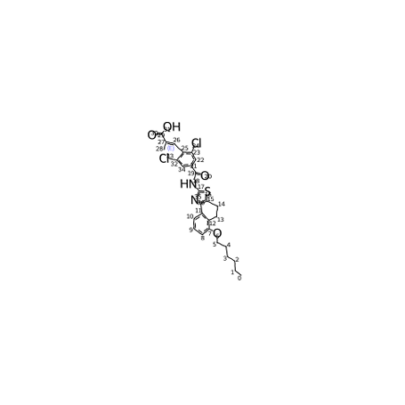 CCCCCCOc1cccc2c1CCc1sc(NC(=O)c3cc(Cl)c(/C=C(\C)C(=O)O)c(Cl)c3)nc1-2